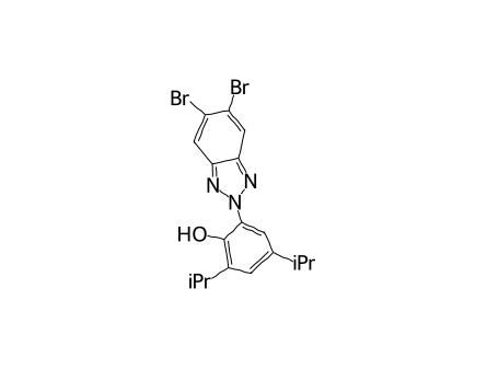 CC(C)c1cc(C(C)C)c(O)c(-n2nc3cc(Br)c(Br)cc3n2)c1